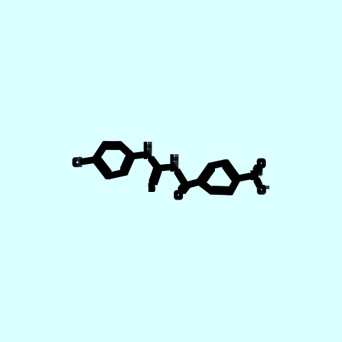 O=C(NC(=S)Nc1ccc(Cl)cc1)c1ccc([N+](=O)[O-])cc1